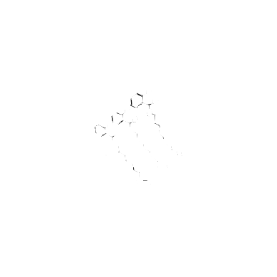 CCCCCCCCOC(=O)c1ccccc1[O-].CCCCCCCCOC(=O)c1ccccc1[O-].CCCCCCCCOC(=O)c1ccccc1[O-].[Al+3]